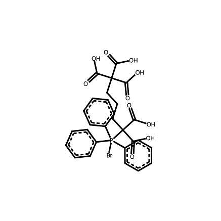 O=C(O)C(CCCC(C(=O)O)(C(=O)O)P(Br)(c1ccccc1)(c1ccccc1)c1ccccc1)(C(=O)O)C(=O)O